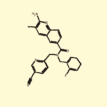 Cc1cc2cc(C(=O)N(CC3=CCCC=C3F)Cc3ccc(C#N)cn3)ccc2nc1N